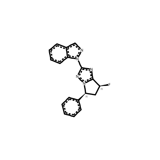 F[C@H]1C[C@@H](c2ccccc2)n2nc(-n3ncc4ccccc43)nc21